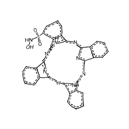 O=S(=O)(NO)c1cccc2c3nc4nc(nc5[nH]c(nc6nc(nc([nH]3)c12)-c1ccccc1-6)c1ccccc51)-c1ccccc1-4